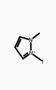 Cn1ccc[n+]1I